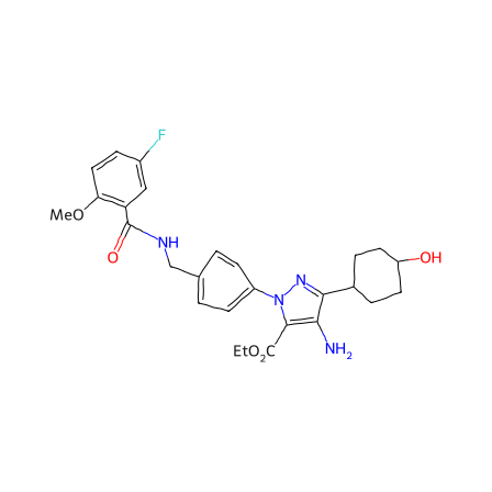 CCOC(=O)c1c(N)c(C2CCC(O)CC2)nn1-c1ccc(CNC(=O)c2cc(F)ccc2OC)cc1